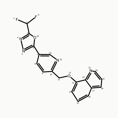 FC(F)c1nnc(-c2ccc(COc3cccc4cccnc34)nc2)o1